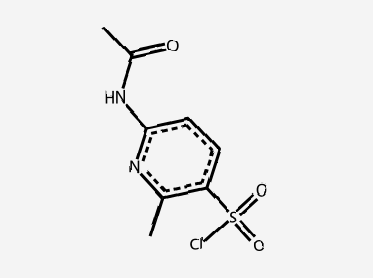 CC(=O)Nc1ccc(S(=O)(=O)Cl)c(C)n1